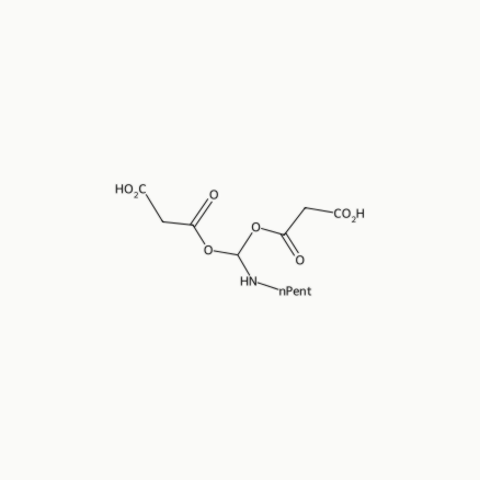 CCCCCNC(OC(=O)CC(=O)O)OC(=O)CC(=O)O